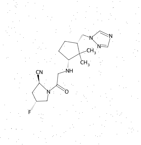 CC1(C)[C@@H](Cn2cncn2)CC[C@H]1NCC(=O)N1C[C@H](F)C[C@H]1C#N